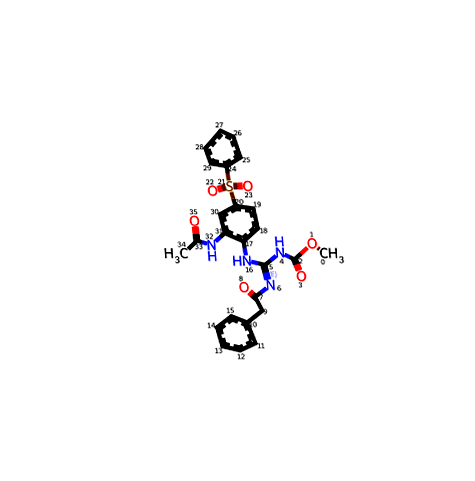 COC(=O)N/C(=N/C(=O)Cc1ccccc1)Nc1ccc(S(=O)(=O)c2ccccc2)cc1NC(C)=O